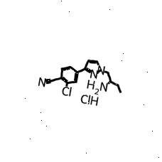 CCC(N)Cn1ccc(-c2ccc(C#N)c(Cl)c2)n1.Cl